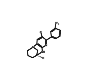 FC(F)(F)c1cccc(-c2nc3c(cc2Cl)N2CCC[C@@H](C2)N3)c1